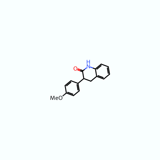 COc1ccc(C2Cc3ccccc3NC2=O)cc1